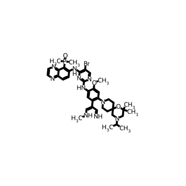 CN/C=C(\C=N)c1cc(Nc2ncc(Br)c(Nc3ccc4nccnc4c3P(C)(C)=O)n2)c(OC)cc1N1CCC2(CC1)CN(C(C)C)CC(C)(C)O2